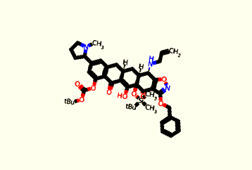 C=CCN[C@@H]1c2onc(OCc3ccccc3)c2C(=O)C2(O[Si](C)(C)C(C)(C)C)C(O)=C3C(=O)c4c(cc(C5CCCN5C)cc4OC(=O)OC(C)(C)C)C[C@H]3C[C@@H]12